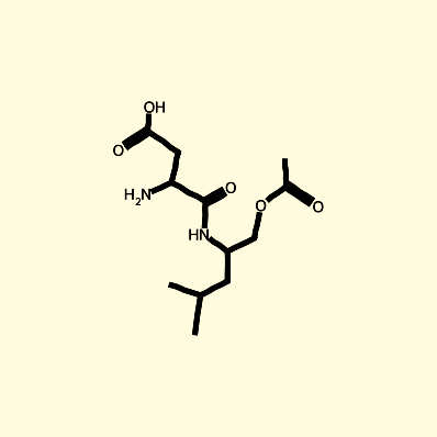 CC(=O)OCC(CC(C)C)NC(=O)C(N)CC(=O)O